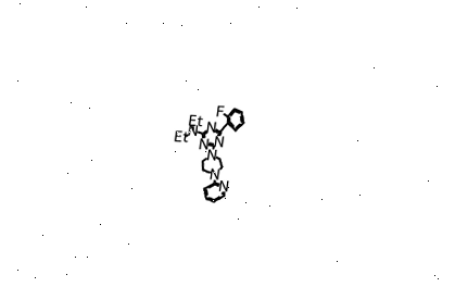 CCN(CC)c1nc(-c2ccccc2F)nc(N2CCN(c3ccccn3)CC2)n1